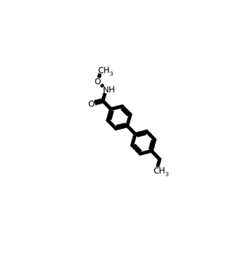 CCc1ccc(-c2ccc(C(=O)NOC)cc2)cc1